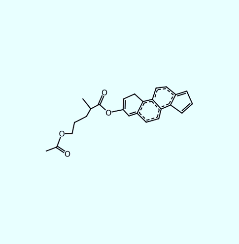 CC(=O)OCCCC(C)C(=O)OC1=CCc2c(ccc3c4c(ccc23)=CC=C4)=C1